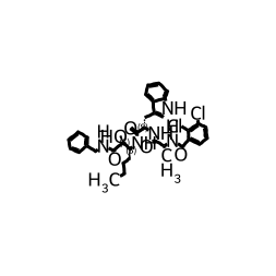 CCCC[C@H](NC(=O)[C@H](Cc1c[nH]c2ccccc12)NC(=O)C(C)NC(=O)c1cccc(Cl)c1Cl)[C@H](O)C(=O)NCc1ccccc1